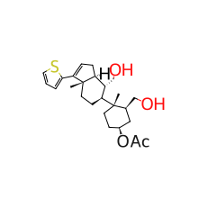 CC(=O)O[C@H]1CC[C@](C)([C@H]2CC[C@]3(C)C(c4cccs4)=CC[C@H]3[C@@H]2CO)[C@@H](CO)C1